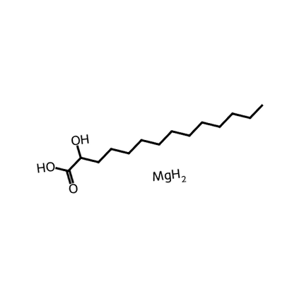 CCCCCCCCCCCCC(O)C(=O)O.[MgH2]